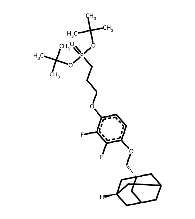 CC(C)(C)OP(=O)(CCCOc1ccc(OC[C@]23CC4CC(C[C@H](C4)C2)C3)c(F)c1F)OC(C)(C)C